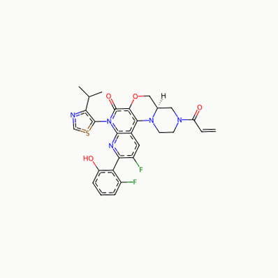 C=CC(=O)N1CCN2c3c(c(=O)n(-c4scnc4C(C)C)c4nc(-c5c(O)cccc5F)c(F)cc34)OC[C@H]2C1